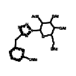 COc1cccc(Cc2nnn(C3OC(COC(C)=O)C(OC(C)=O)C(OC(C)=O)C3OC(C)=O)n2)c1